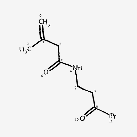 C=C(C)CC(=O)NCCC(=O)C(C)C